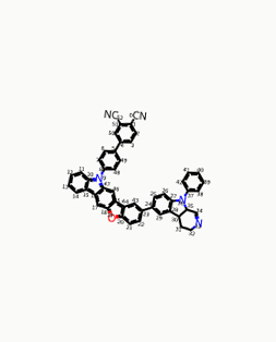 N#Cc1ccc(-c2ccc(-n3c4ccccc4c4cc5oc6ccc(-c7ccc8c(c7)C7CCN=CC7N8c7ccccc7)cc6c5cc43)cc2)cc1C#N